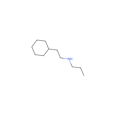 CCCNCCC1CCCCC1